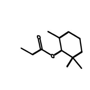 CCC(=O)OC1C(C)CCCC1(C)C